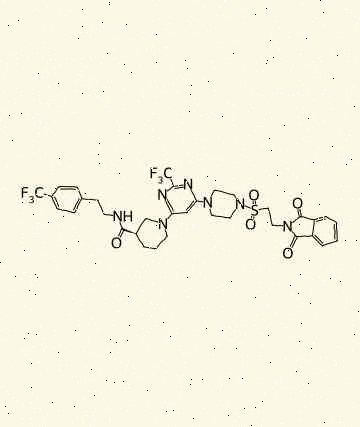 O=C(NCCc1ccc(C(F)(F)F)cc1)[C@@H]1CCCN(c2cc(N3CCN(S(=O)(=O)CCN4C(=O)c5ccccc5C4=O)CC3)nc(C(F)(F)F)n2)C1